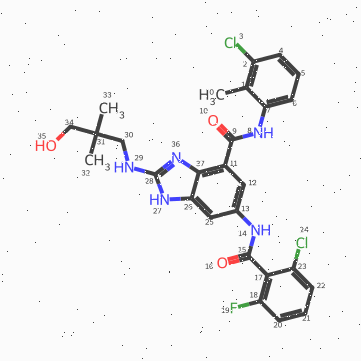 Cc1c(Cl)cccc1NC(=O)c1cc(NC(=O)c2c(F)cccc2Cl)cc2[nH]c(NCC(C)(C)CO)nc12